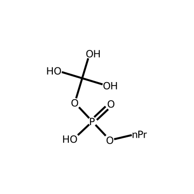 CCCOP(=O)(O)OC(O)(O)O